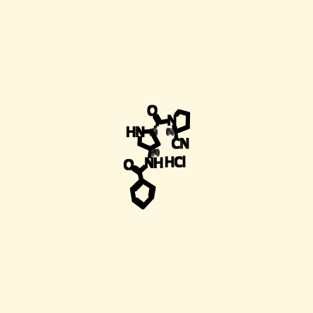 Cl.N#C[C@@H]1CCCN1C(=O)[C@@H]1C[C@@H](NC(=O)c2ccccc2)CN1